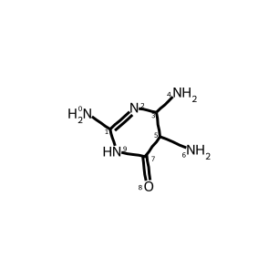 NC1=NC(N)C(N)C(=O)N1